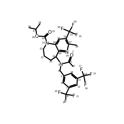 CC(=O)N(Cc1cc(C(F)(F)F)cc(C(F)(F)F)c1)C1CCCN(C(=O)OC(C)C)c2cc(C(F)(F)F)c(C)nc21